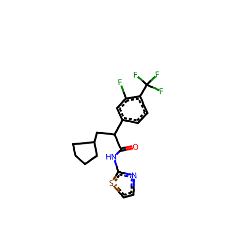 O=C(Nc1nccs1)C(CC1CCCC1)c1ccc(C(F)(F)F)c(F)c1